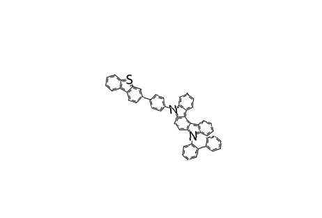 c1ccc(-c2ccccc2-n2c3ccccc3c3c4c5ccccc5n(-c5ccc(-c6ccc7c(c6)sc6ccccc67)cc5)c4ccc32)cc1